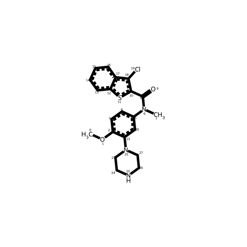 COc1ccc(N(C)C(=O)c2sc3ccccc3c2Cl)cc1N1CCNCC1